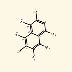 [2H]c1cc([2H])c2c([2H])c([2H])c([2H])c([2H])c2c1[2H]